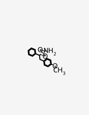 COc1ccc(CC(c2ccccc2)S(N)(=O)=O)cc1